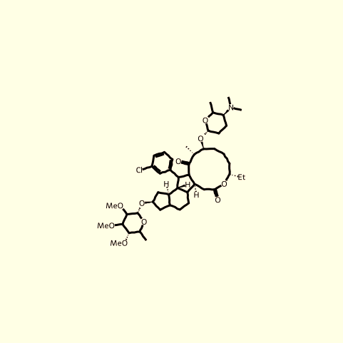 CC[C@H]1CCC[C@H](O[C@H]2CC[C@H](N(C)C)C(C)O2)[C@@H](C)C(=O)C2C(c3cccc(Cl)c3)[C@@H]3C(CCC4C[C@@H](O[C@@H]5OC(C)[C@H](OC)C(OC)C5OC)C[C@H]43)[C@@H]2CC(=O)O1